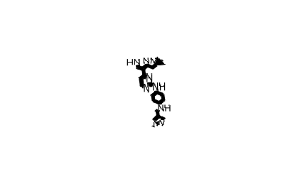 CN/C(CC1CC1)=C(\C=N)c1ccnc(NC2CCC(NCc3cnn(C)c3)CC2)n1